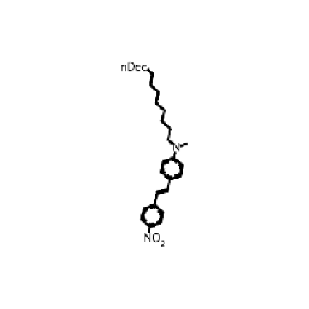 CCCCCCCCCCCCCCCCCCN(C)c1ccc(C=Cc2ccc([N+](=O)[O-])cc2)cc1